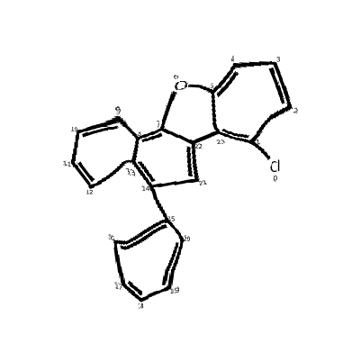 Clc1cccc2oc3c4ccccc4c(-c4ccccc4)cc3c12